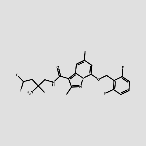 Cc1cc(OCc2c(F)cccc2F)n2nc(C)c(C(=O)NCC(C)(N)CC(F)F)c2c1